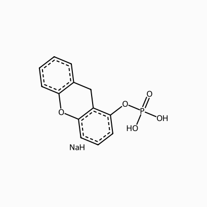 O=P(O)(O)Oc1cccc2c1Cc1ccccc1O2.[NaH]